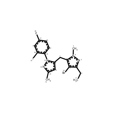 CCc1nn(C)c(Cc2cc(C)nn2-c2ccc(F)cc2I)c1Br